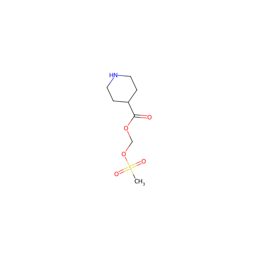 CS(=O)(=O)OCOC(=O)C1CCNCC1